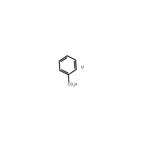 O=C(O)c1ccccc1.[U]